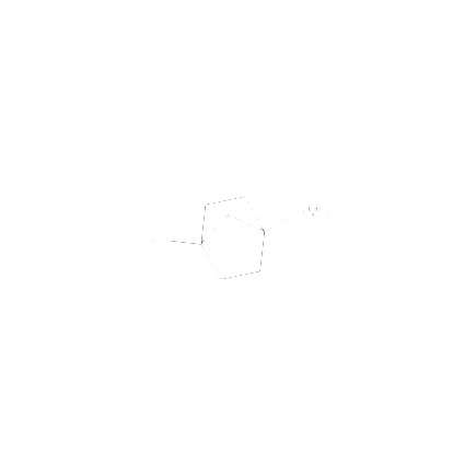 COC12CCC(C(C)C)(CC1)C2